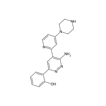 Nc1nnc(-c2ccccc2O)cc1-c1cc(N2CCNCC2)ccn1